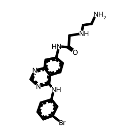 NCCNCC(=O)Nc1ccc2c(Nc3cccc(Br)c3)ncnc2c1